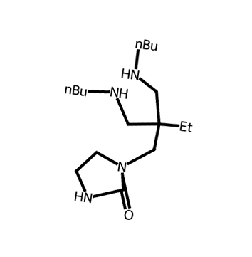 CCCCNCC(CC)(CNCCCC)CN1CCNC1=O